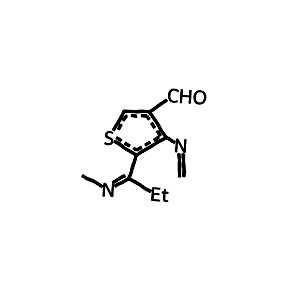 C=Nc1c(C=O)csc1/C(CC)=N\C